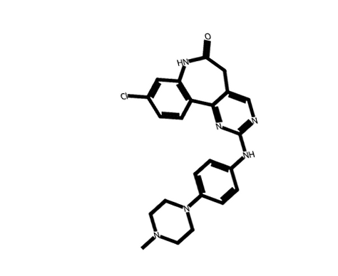 CN1CCN(c2ccc(Nc3ncc4c(n3)-c3ccc(Cl)cc3NC(=O)C4)cc2)CC1